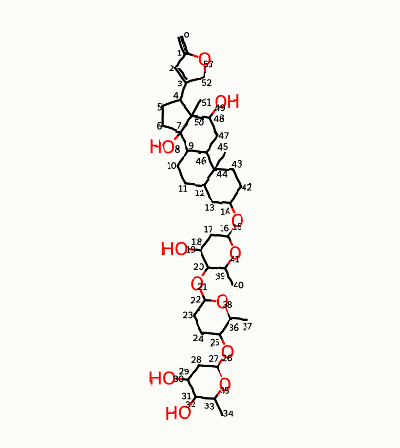 C=C1C=C(C2CCC3(O)C4CCC5CC(OC6CC(O)C(OC7CCC(OC8CC(O)C(O)C(C)O8)C(C)O7)C(C)O6)CCC5(C)C4CC(O)C23C)CO1